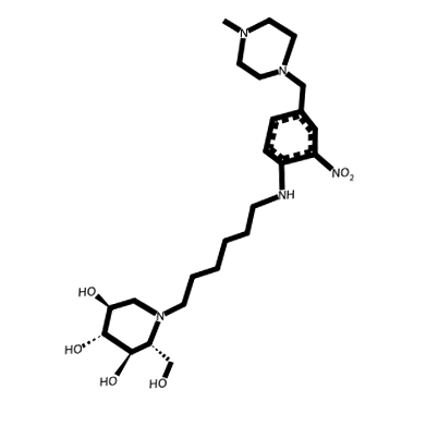 CN1CCN(Cc2ccc(NCCCCCCN3C[C@H](O)[C@@H](O)[C@H](O)[C@H]3CO)c([N+](=O)[O-])c2)CC1